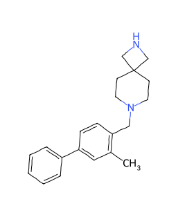 Cc1cc(-c2ccccc2)ccc1CN1CCC2(CC1)CNC2